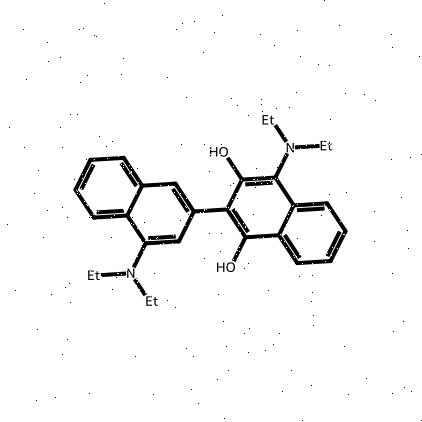 CCN(CC)c1cc(-c2c(O)c(N(CC)CC)c3ccccc3c2O)cc2ccccc12